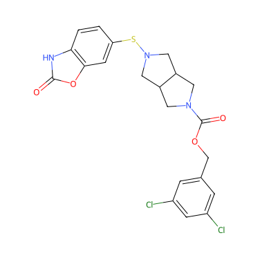 O=C(OCc1cc(Cl)cc(Cl)c1)N1CC2CN(Sc3ccc4[nH]c(=O)oc4c3)CC2C1